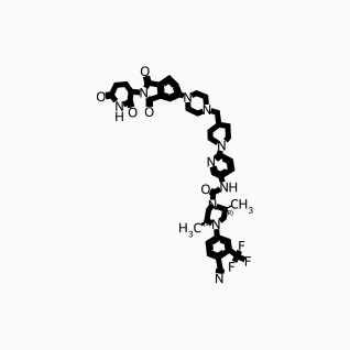 C[C@@H]1CN(c2ccc(C#N)c(C(F)(F)F)c2)[C@@H](C)CN1C(=O)Nc1ccc(N2CCC(CN3CCN(c4ccc5c(c4)C(=O)N(C4CCC(=O)NC4=O)C5=O)CC3)CC2)nc1